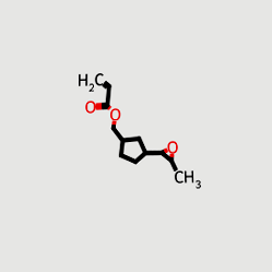 C=CC(=O)OCC1CCC(C2OC2C)C1